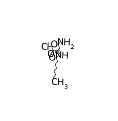 CCCCCCCC(=O)N[C@H](CC(N)=O)C(=O)CCl